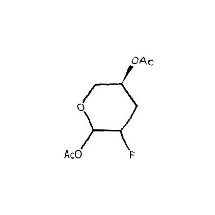 CC(=O)OC1OC[C@@H](OC(C)=O)CC1F